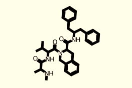 CNC(C)C(=O)NC(C(=O)N1Cc2ccccc2CC1C(=O)NC(Cc1ccccc1)Cc1ccccc1)C(C)C